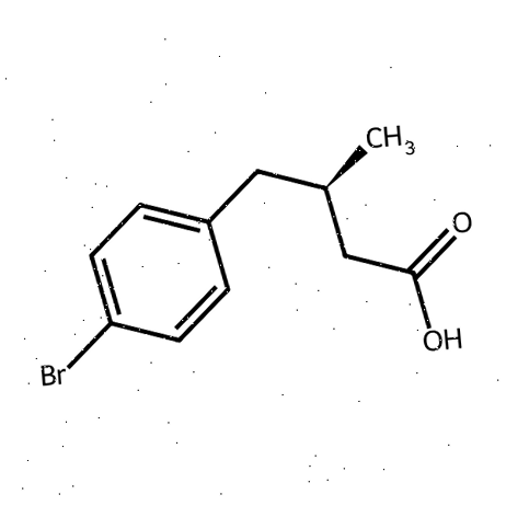 C[C@@H](CC(=O)O)Cc1ccc(Br)cc1